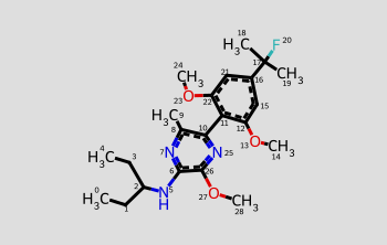 CCC(CC)Nc1nc(C)c(-c2c(OC)cc(C(C)(C)F)cc2OC)nc1OC